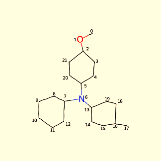 COC1CCC(N(C2CCCCC2)C2CCC(C)CC2)CC1